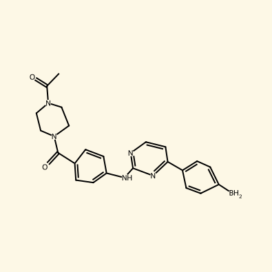 Bc1ccc(-c2ccnc(Nc3ccc(C(=O)N4CCN(C(C)=O)CC4)cc3)n2)cc1